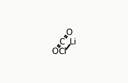 O=C=O.[Li][Cl]